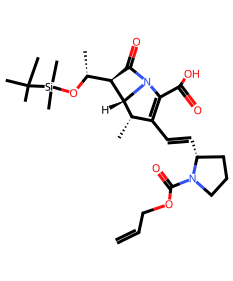 C=CCOC(=O)N1CCC[C@H]1C=CC1=C(C(=O)O)N2C(=O)[C@H]([C@@H](C)O[Si](C)(C)C(C)(C)C)[C@H]2[C@H]1C